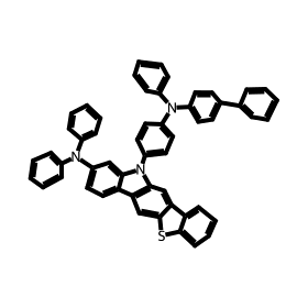 c1ccc(-c2ccc(N(c3ccccc3)c3ccc(-n4c5cc(N(c6ccccc6)c6ccccc6)ccc5c5cc6sc7ccccc7c6cc54)cc3)cc2)cc1